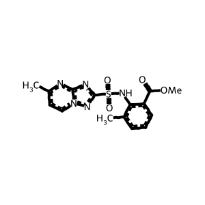 COC(=O)c1cccc(C)c1NS(=O)(=O)c1nc2nc(C)ccn2n1